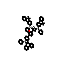 CC1(C)c2ccccc2-c2cc(N(c3ccccc3)c3sc(N(c4ccccc4)c4ccc5c(c4)C(C)(C)c4ccccc4-5)cc3-c3ccc(-c4ccc5c(c4)c4c6ccccc6c6ccccc6c4n5-c4ccccc4)cc3)ccc21